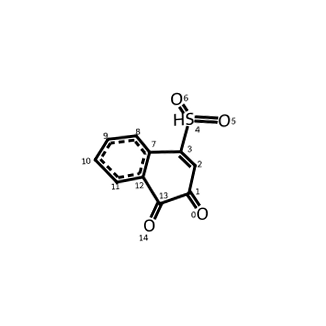 O=C1C=C([SH](=O)=O)c2ccccc2C1=O